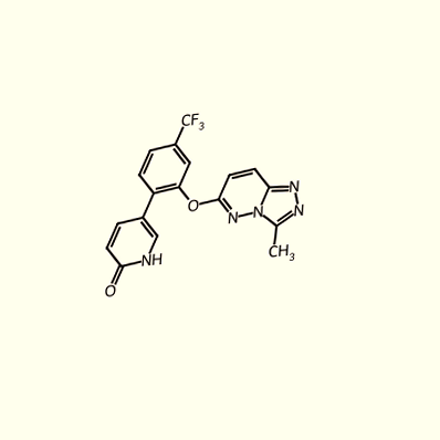 Cc1nnc2ccc(Oc3cc(C(F)(F)F)ccc3-c3ccc(=O)[nH]c3)nn12